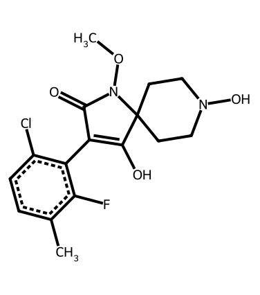 CON1C(=O)C(c2c(Cl)ccc(C)c2F)=C(O)C12CCN(O)CC2